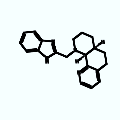 c1cnc2c(c1)CC[C@@H]1CCCN(Cc3nc4ccccc4[nH]3)[C@H]21